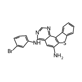 Nc1cc2c(Nc3cccc(Br)c3)ncnc2c2c1sc1ccccc12